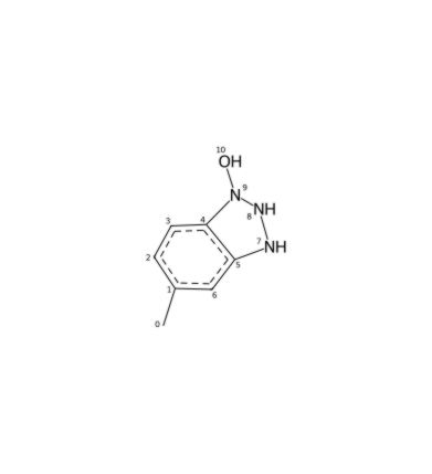 Cc1ccc2c(c1)NNN2O